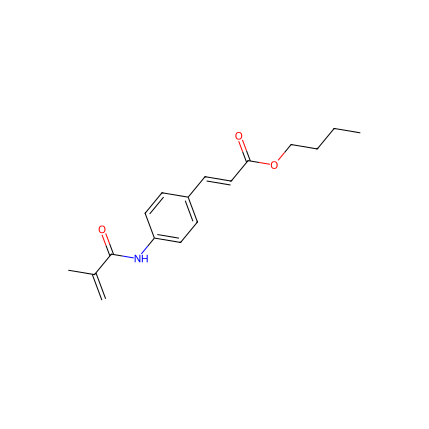 C=C(C)C(=O)Nc1ccc(C=CC(=O)OCCCC)cc1